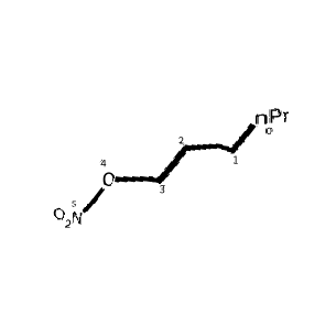 CCCCCCO[N+](=O)[O-]